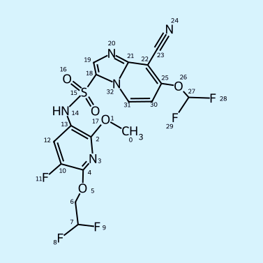 COc1nc(OCC(F)F)c(F)cc1NS(=O)(=O)c1cnc2c(C#N)c(OC(F)F)ccn12